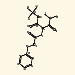 CC(C)C(=O)N(CC(=O)OCc1ccccc1)C(=O)OC(C)(C)C